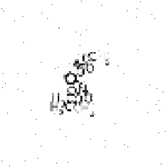 COC(=O)C1(Oc2ccccc2CN(C=O)C(=O)OC(C)(C)C)CC1